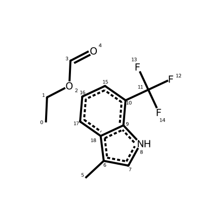 CCOC=O.Cc1c[nH]c2c(C(F)(F)F)cccc12